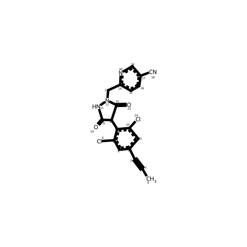 CC#Cc1cc(Cl)c(C2C(=O)NN(Cc3ccc(C#N)cn3)C2=O)c(Cl)c1